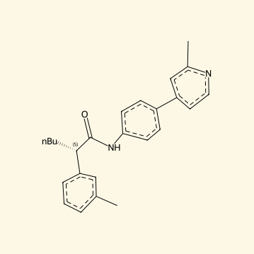 CCCC[C@H](C(=O)Nc1ccc(-c2ccnc(C)c2)cc1)c1cccc(C)c1